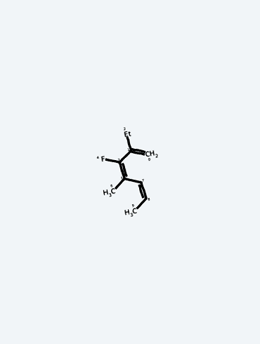 C=C(CC)/C(F)=C(C)\C=C/C